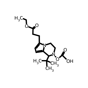 CCOC(=O)CCc1ccc2n1CCN(OC(=O)O)C2C(C)(C)C